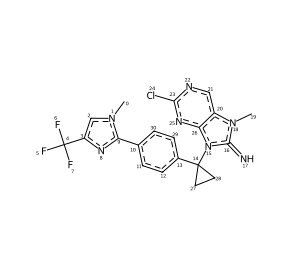 Cn1cc(C(F)(F)F)nc1-c1ccc(C2(n3c(=N)n(C)c4cnc(Cl)nc43)CC2)cc1